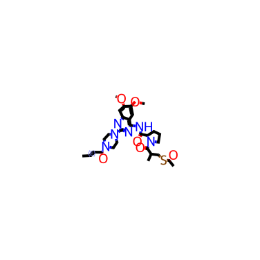 C/C=C/C(=O)N1CCN(c2nc(NC(=O)C3CCCN3C(=O)C(C)CSC(C)=O)c3cc(OC)c(OC)cc3n2)CC1